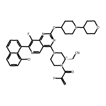 C=C(F)C(=O)N1CCN(c2nc(OC3CCN(C4CCOCC4)CC3)nc3c(F)c(-c4cccc5cccc(Cl)c45)ncc23)C[C@@H]1CC#N